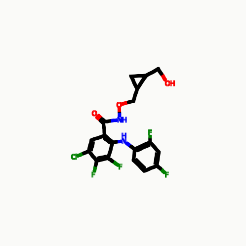 O=C(NOCC1CC1CO)c1cc(Cl)c(F)c(F)c1Nc1ccc(F)cc1F